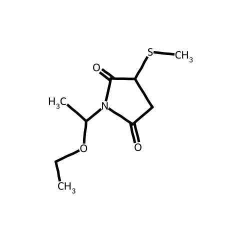 CCOC(C)N1C(=O)CC(SC)C1=O